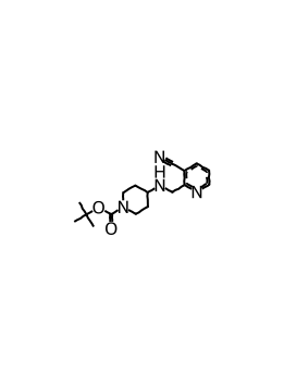 CC(C)(C)OC(=O)N1CCC(NCc2ncccc2C#N)CC1